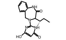 CC[C@H](C)C1C(=O)Nc2ccccc2CN1c1nc(O)cc(=O)[nH]1